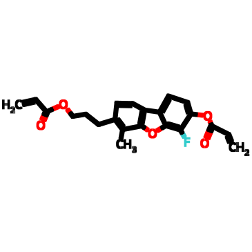 C=CC(=O)OCCCc1ccc2c(oc3c(F)c(OC(=O)C=C)ccc32)c1C